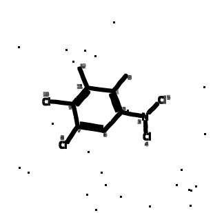 Cc1c(N(Cl)Cl)cc(Cl)c(Cl)c1C